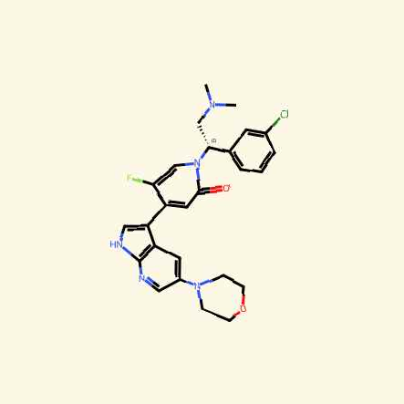 CN(C)C[C@H](c1cccc(Cl)c1)n1cc(F)c(-c2c[nH]c3ncc(N4CCOCC4)cc23)cc1=O